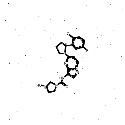 O=C(Nc1cnn2ccc(N3CCC[C@H]3c3cc(F)ccc3F)nc12)N1CC[C@@H](O)C1